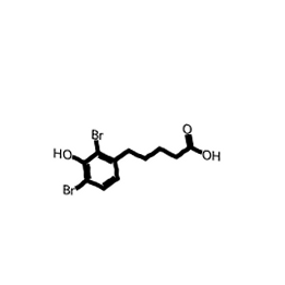 O=C(O)CCCCc1ccc(Br)c(O)c1Br